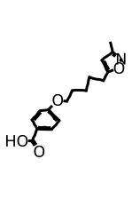 Cc1cc(CCCCCOc2ccc(C(=O)O)cc2)on1